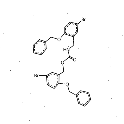 O=C(NCc1cc(Br)ccc1OCc1ccccc1)OCc1cc(Br)ccc1OCc1ccccc1